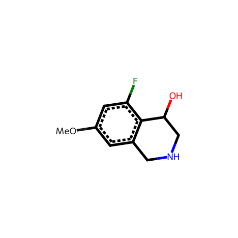 COc1cc(F)c2c(c1)CNCC2O